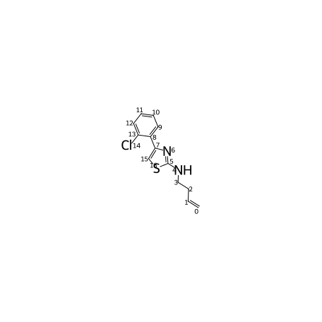 C=CCCNc1nc(-c2ccccc2Cl)cs1